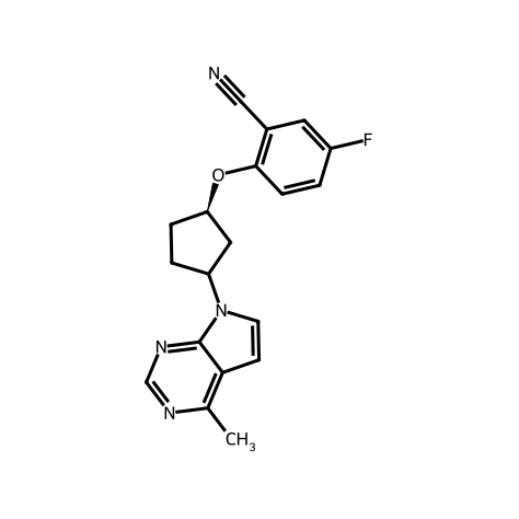 Cc1ncnc2c1ccn2C1CC[C@@H](Oc2ccc(F)cc2C#N)C1